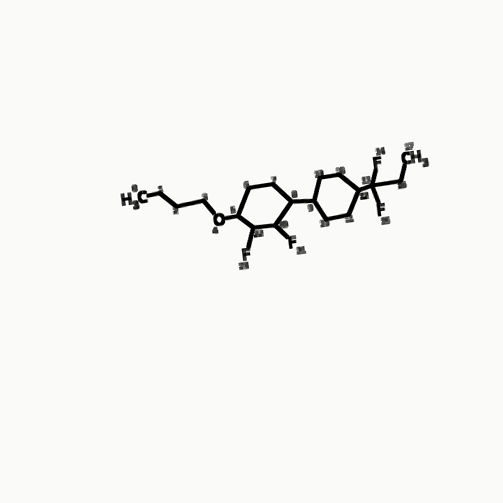 CCCCOC1CCC(C2CCC(C(F)(F)CC)CC2)C(F)C1F